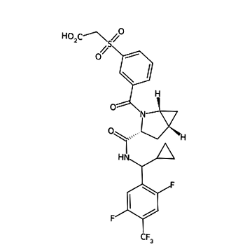 O=C(O)CS(=O)(=O)c1cccc(C(=O)N2[C@@H](C(=O)NC(c3cc(F)c(C(F)(F)F)cc3F)C3CC3)C[C@H]3C[C@H]32)c1